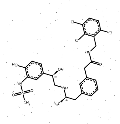 C[C@H](Cc1cccc(CC(=O)NCc2c(Cl)ccc(Cl)c2Cl)c1)NC[C@H](O)c1ccc(O)c(NS(C)(=O)=O)c1